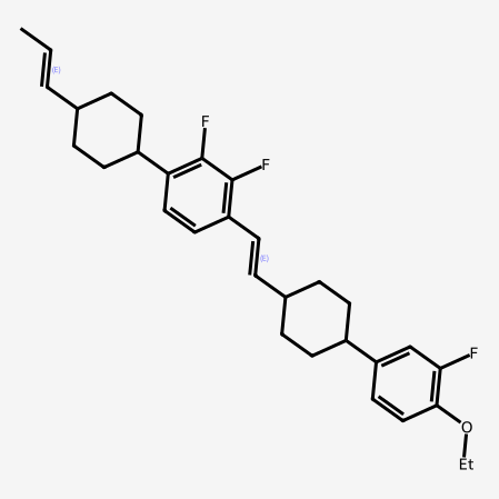 C/C=C/C1CCC(c2ccc(/C=C/C3CCC(c4ccc(OCC)c(F)c4)CC3)c(F)c2F)CC1